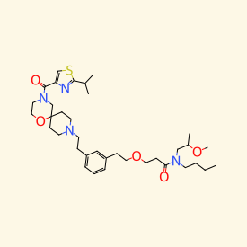 CCCCN(CC(C)OC)C(=O)CCOCCc1cccc(CCN2CCC3(CC2)CN(C(=O)c2csc(C(C)C)n2)CCO3)c1